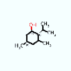 CC(C)[C@@H]1C(C)C[C@@H](C)C[C@H]1O